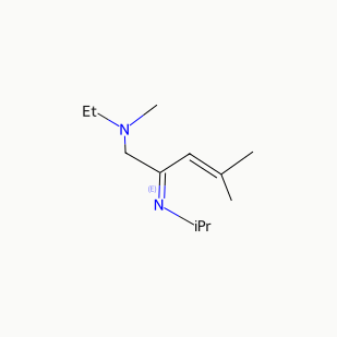 CCN(C)C/C(C=C(C)C)=N/C(C)C